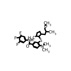 COCC(C)CC1CCC(C)C1Sc1cc(C(=O)Nc2cc(F)c(F)c(F)c2)ccc1N(C)C